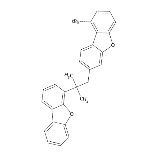 CC(C)(C)c1cccc2oc3cc(CC(C)(C)c4cccc5c4oc4ccccc45)ccc3c12